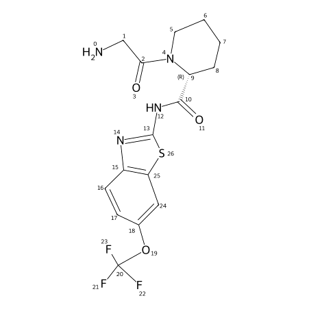 NCC(=O)N1CCCC[C@@H]1C(=O)Nc1nc2ccc(OC(F)(F)F)cc2s1